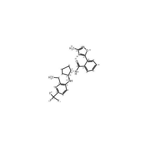 CCc1nc(C(F)(F)F)ccc1N[C@H]1CCC[C@@H]1NC(=O)c1ccccc1-c1nc(C)no1